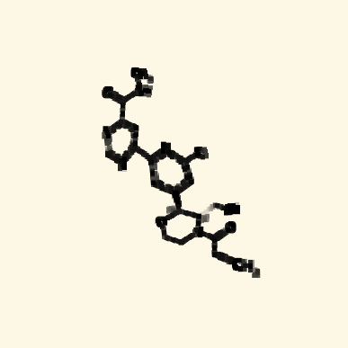 C=CC(=O)N1CCO[C@@H](c2cc(Cl)nc(-c3cc(C(=O)NC)ncn3)c2)[C@@H]1CO